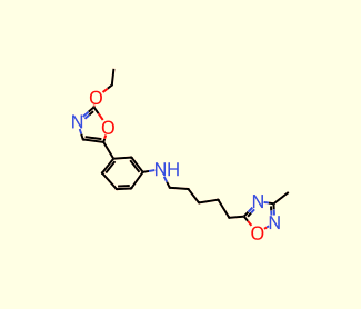 CCOc1ncc(-c2cccc(NCCCCCc3nc(C)no3)c2)o1